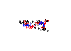 Cc1c(C)c(S(=O)(=O)NC(=N)NCCC[C@H](NC(=O)OCC2c3ccccc3-c3cc(CC4(C)Cc5c(C)c(S(=O)(=O)NC(=N)NCCC[C@H](NC(=O)OCC6c7ccccc7-c7ccccc76)C(=O)N6CCN(C(=O)OC(C)(C)C)CC6)c(C)c(C)c5O4)ccc32)C(=O)O)c(C)c2c1OC(C)(C)C2